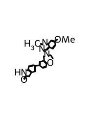 COc1ccc2c(N3CCOc4ccc(-c5ccc6c(c5)CC(=O)N6)cc4C3)nc(C)nc2c1